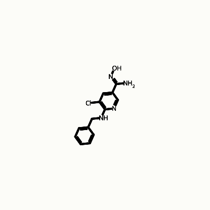 N/C(=N\O)c1cnc(NCc2ccccc2)c(Cl)c1